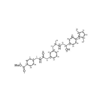 COC(=O)c1ccc(CNC(=O)Cc2cccc(CC(C)NCC(O)c3ccc(-n4c(C)ccc4C)nc3)c2)cc1